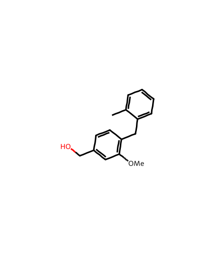 COc1cc(CO)ccc1Cc1ccccc1C